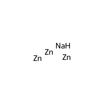 [NaH].[Zn].[Zn].[Zn]